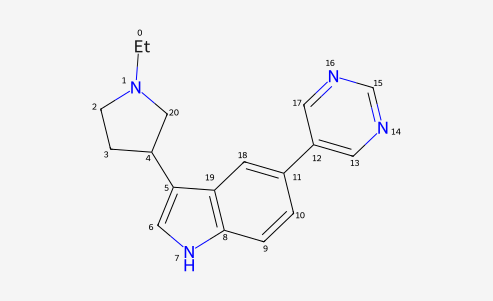 CCN1CCC(c2c[nH]c3ccc(-c4cncnc4)cc23)C1